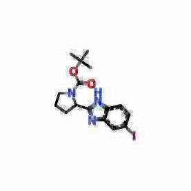 CC(C)(C)OC(=O)N1CCCC1c1nc2cc(I)ccc2[nH]1